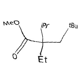 CCC(CC(C)(C)C)(C(=O)OC)C(C)C